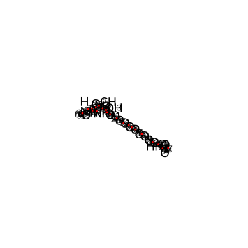 CCCN(CCCN(CCOCCOCCOCCOCCOCCOCCOCCOCCOCCOCCNC(=O)CN1C(=O)C=CC1=O)C(=O)O)C(=O)C1=Cc2ccc(C(=O)Nc3ccccc3)cc2N=C(N)C1